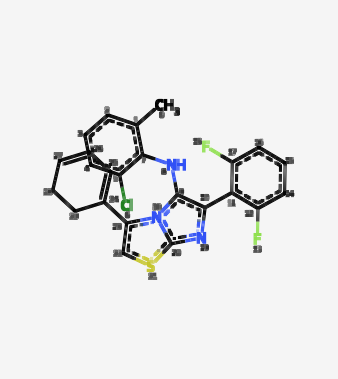 Cc1cccc(Cl)c1Nc1c(-c2c(F)cccc2F)nc2scc(C3=CC=CCC3)n12